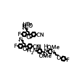 Br.CN(C)CCCC1(c2ccc(F)cc2)OCc2cc(C#N)ccc21.CN(C)CCCC1(c2ccc(F)cc2)OCc2cc(C#N)ccc21.COc1cc(N)c(Cl)cc1C(=O)NC1CCN(CCCOc2ccc(F)cc2)CC1OC.O